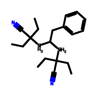 CCC(C#N)(CC)[SiH2]C(Cc1ccccc1)[SiH2]C(C#N)(CC)CC